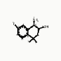 CC1(C)CC(O)[C@H](N)c2cc(F)ccc21